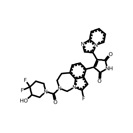 O=C1NC(=O)C(c2cnc3ccccn23)=C1c1ccc2c3c1cc(F)n3CN(C(=O)N1CCC(F)(F)C(O)C1)CC2